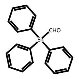 O=[CH][Sn]([c]1ccccc1)([c]1ccccc1)[c]1ccccc1